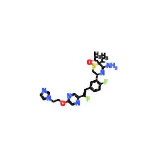 CC1(C)C(N)=NC(c2cc(/C=C(\F)c3cnc(OCCn4ccnc4)cn3)ccc2F)C[S+]1[O-]